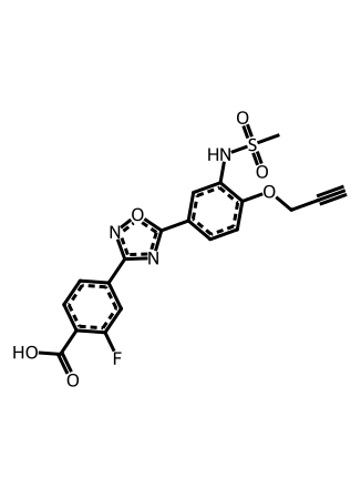 C#CCOc1ccc(-c2nc(-c3ccc(C(=O)O)c(F)c3)no2)cc1NS(C)(=O)=O